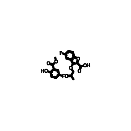 CC(=O)COc1c(C(=O)O)oc2ccc(F)cc12.COC(=O)c1cc(F)ccc1O